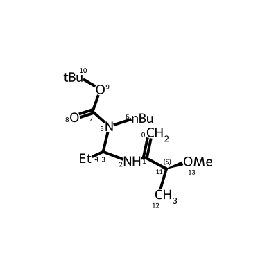 C=C(NC(CC)N(CCCC)C(=O)OC(C)(C)C)[C@H](C)OC